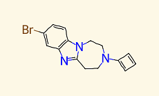 Brc1ccc2c(c1)nc1n2CCN(C2=CC=C2)CC1